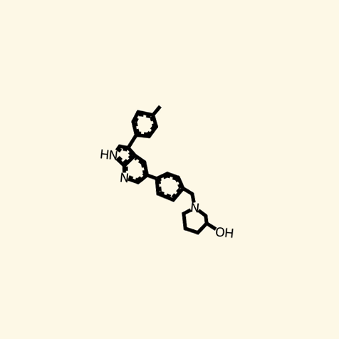 Cc1ccc(-c2c[nH]c3ncc(-c4ccc(CN5CCCC(O)C5)cc4)cc23)cc1